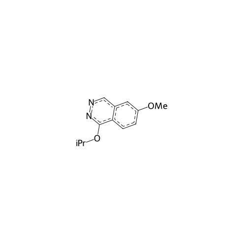 COc1ccc2c(OC(C)C)nncc2c1